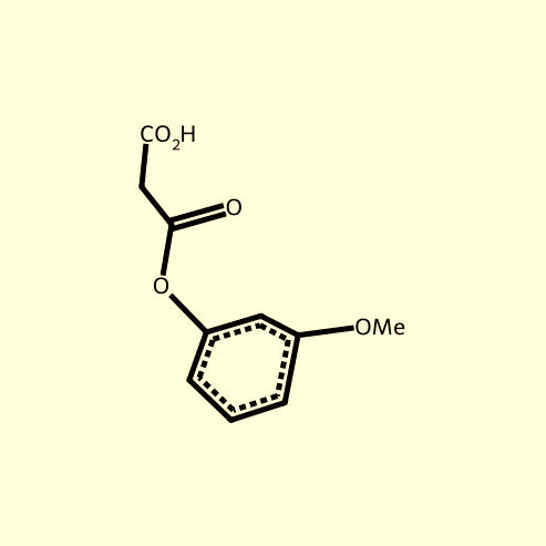 COc1cccc(OC(=O)CC(=O)O)c1